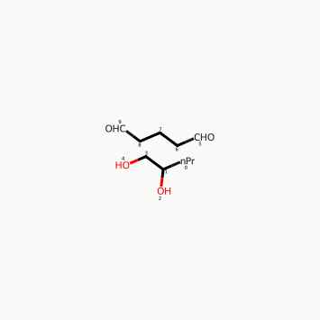 CCCC(O)CO.O=CCCCC=O